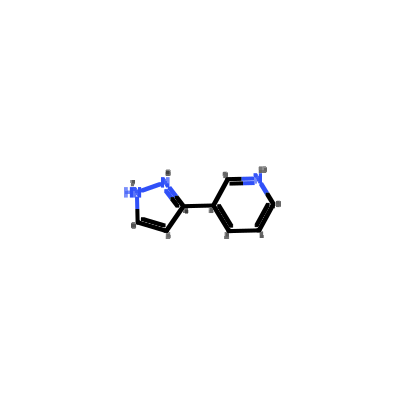 [c]1ccc(-c2cc[nH]n2)cn1